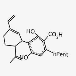 C=CC1=CC(c2c(O)cc(CCCCC)c(C(=O)O)c2O)C(C(=C)C)CC1